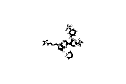 C1CCOOC1.C[Si](C)(C)CCOCn1cc(C#N)c2nc(-c3cnc(S(C)(=O)=O)nc3NC3CCCN(S(C)(=O)=O)C3)cnc21